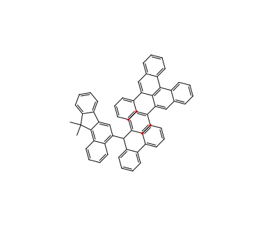 CC1(C)c2ccccc2-c2cc(C(c3ccc(-c4cc5ccccc5c5c4c(-c4ccccc4)cc4ccccc45)cc3)c3ccccc3-c3ccccc3)c3ccccc3c21